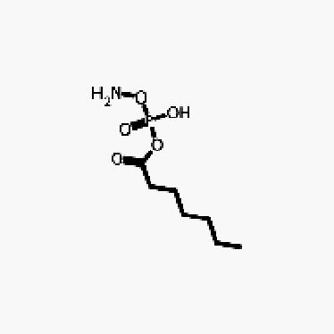 CCCCCCC(=O)OP(=O)(O)ON